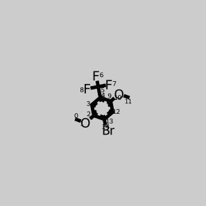 COc1cc(C(F)(F)F)c(OC)cc1Br